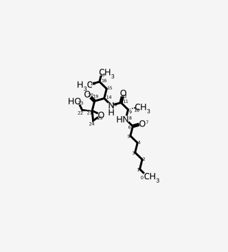 CCCCCCC(=O)N[C@@H](C)C(=O)NC(CC(C)C)C(=O)[C@@]1(CO)CO1